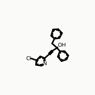 O[C@@](C#Cc1cc(Cl)ccn1)(Cc1ccccc1)c1ccccc1